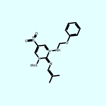 CSn1cc([SH](=O)=O)c[n+](NCOc2ccccc2)/c1=N/C=C(C)C